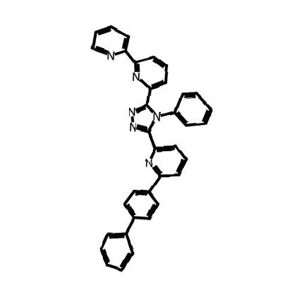 c1ccc(-c2ccc(-c3cccc(-c4nnc(-c5cccc(-c6ccccn6)n5)n4-c4ccccc4)n3)cc2)cc1